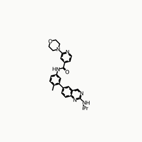 Cc1ccc(NC(=O)c2ccnc(N3CCOCC3)c2)cc1-c1ccc2nc(NC(C)C)ncc2c1